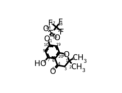 CC1(C)CC(=O)c2c(O)cc(OS(=O)(=O)C(F)(F)F)cc2O1